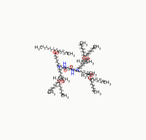 CCCCCCCCC(CCCCCCCC)OC(=O)CCCCCCCN(CCCCCCC(C)(C)C(=O)OC(CCCCCCCC)CCCCCCCC)CCNC(=O)CCC(=O)NCCN(CCCCCCC(C)(C)C(=O)OC(CCCCCCCC)CCCCCCCC)CCCCCCC(C)(C)C(=O)OC(CCCCCCCC)CCCCCCCC